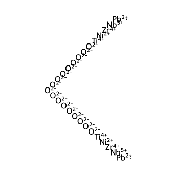 [Nb+5].[Nb+5].[Ni+2].[Ni+2].[O-2].[O-2].[O-2].[O-2].[O-2].[O-2].[O-2].[O-2].[O-2].[O-2].[O-2].[O-2].[O-2].[O-2].[O-2].[O-2].[O-2].[Pb+2].[Pb+2].[Ti+4].[Ti+4].[Zr+4].[Zr+4]